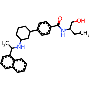 CC[C@H](CO)NC(=O)c1ccc(C2CCCC(NC(C)c3cccc4ccccc34)C2)cc1